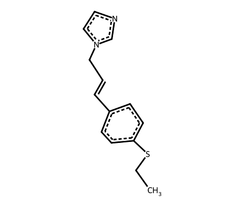 CCSc1ccc(C=CCn2ccnc2)cc1